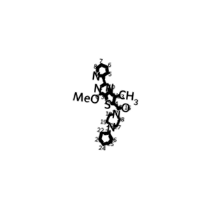 COc1nc(-c2ccccn2)nc2c(C)c(C(=O)N3CCN(c4ccccc4)CC3)sc12